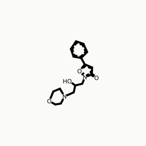 O=c1cc(-c2ccccc2)on1CC(O)CN1CCOCC1